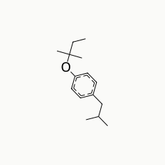 CCC(C)(C)Oc1ccc(CC(C)C)cc1